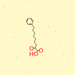 O=C(O)C(=O)CCCCCCCc1ccccc1